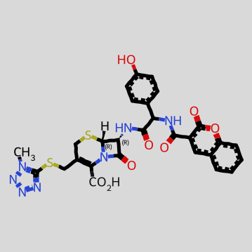 Cn1nnnc1SCC1=C(C(=O)O)N2C(=O)[C@@H](NC(=O)C(NC(=O)c3cc4ccccc4oc3=O)c3ccc(O)cc3)[C@H]2SC1